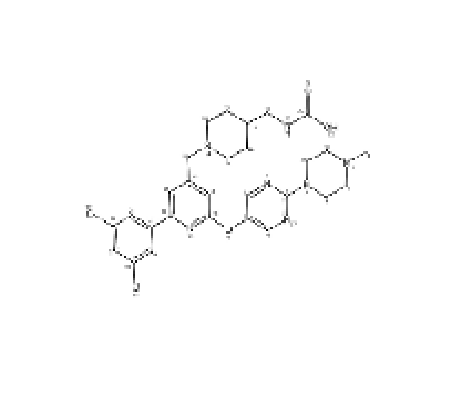 CN1CCN(c2ncc(Oc3cc(CN4CCC(CNC(=O)O)CC4)cc(-c4cc(Cl)cc(Cl)c4)n3)cn2)CC1